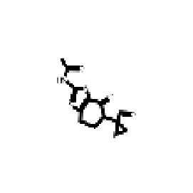 CC(=O)Nc1nc2c(s1)C(=O)C(C1(C=O)CC1)CC2